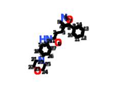 O=C(CCc1cnoc1-c1ccccc1)Nc1ccc(N2CCOCC2)cc1